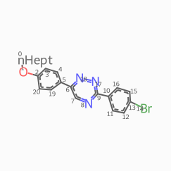 CCCCCCCOc1ccc(-c2cnc(-c3ccc(Br)cc3)nn2)cc1